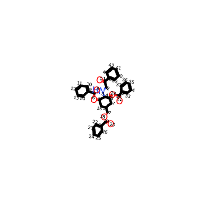 O=C(CNC1C(OC(=O)c2ccccc2)CC(COC(=O)c2ccccc2)CC1OC(=O)c1ccccc1)c1ccccc1